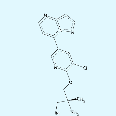 CC(C)C[C@@](C)(N)COc1ncc(-c2ccnc3ccnn23)cc1Cl